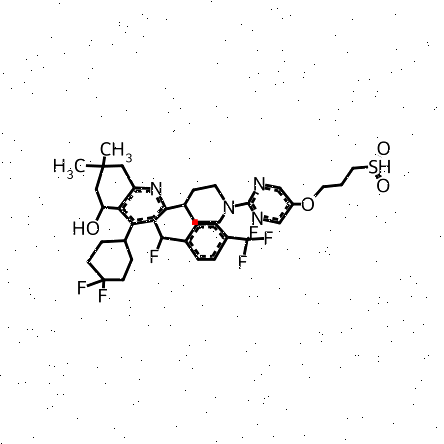 CC1(C)Cc2nc(C3CCN(c4ncc(OCCC[SH](=O)=O)cn4)CC3)c(C(F)c3ccc(C(F)(F)F)cc3)c(C3CCC(F)(F)CC3)c2C(O)C1